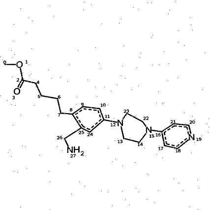 COC(=O)CCCCc1ccc(N2CCN(c3ccncc3)CC2)cc1CN